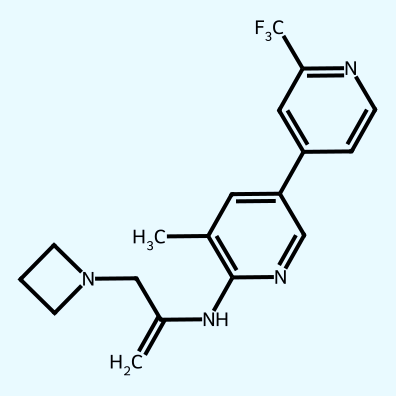 C=C(CN1CCC1)Nc1ncc(-c2ccnc(C(F)(F)F)c2)cc1C